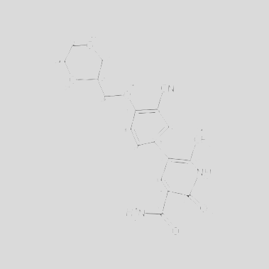 N#Cc1cc(-c2cc(C(N)=O)c(=O)[nH]c2C(F)(F)F)ccc1OCC1COCCO1